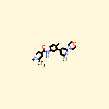 C=N/C(=C\C(=C/C)C(=O)Nc1ccc(C)c(-c2cc(Cl)nc(N3CCOCC3)c2)c1)C(F)(F)F